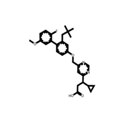 COc1ccc(F)c(-c2ccc(OCc3cc(C(CC(=O)O)C4CC4)ncn3)cc2CC(C)(C)C)c1